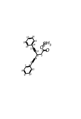 O=C(CC(C#Cc1ccccc1)C#Cc1ccccc1)O[SiH3]